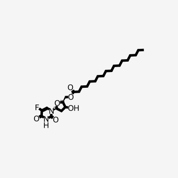 CCCCCCCCCCCCCCCCCC(=O)OC[C@@H]1O[C@H](n2cc(F)c(=O)[nH]c2=O)CC1O